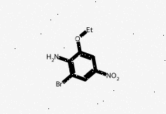 CCOc1cc([N+](=O)[O-])cc(Br)c1N